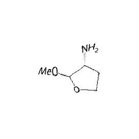 COC1OCC[C@H]1N